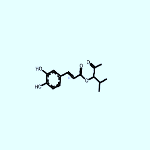 CC(=O)C(OC(=O)/C=C/c1ccc(O)c(O)c1)C(C)C